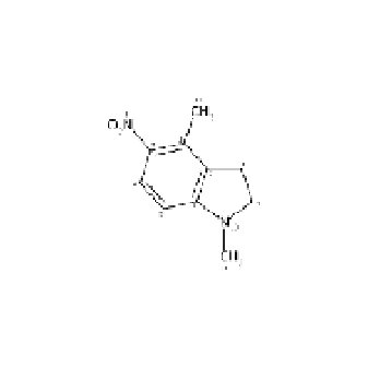 Cc1c([N+](=O)[O-])ccc2c1CCN2C